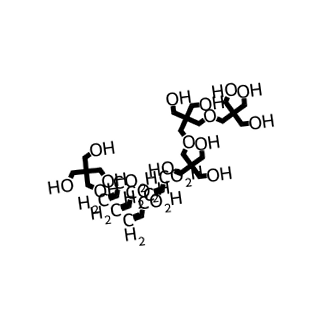 C=CC(=O)O.C=CC(=O)O.C=CC(=O)O.C=CC(=O)O.OCC(CO)(CO)CO.OCC(CO)(CO)COCC(CO)(CO)COCC(CO)(CO)CO